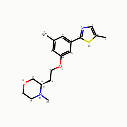 Cc1cnc(-c2cc(C#N)cc(OCC[C@@H]3COCCN3C)c2)s1